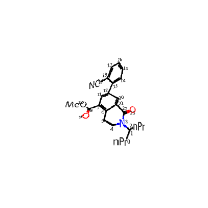 CCCC(CCC)N1CCc2c(C(=O)OC)cc(-c3ccccc3C#N)cc2C1=O